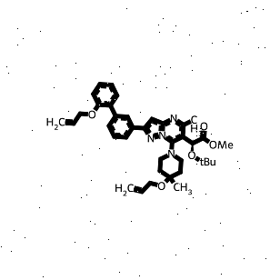 C=CCOc1ccccc1-c1cccc(-c2cc3nc(C)c([C@H](OC(C)(C)C)C(=O)OC)c(N4CCC(C)(OCC=C)CC4)n3n2)c1